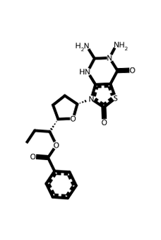 CCC(OC(=O)c1ccccc1)[C@@H]1CC[C@H](n2c3c(sc2=O)C(=O)N(N)C(N)N3)O1